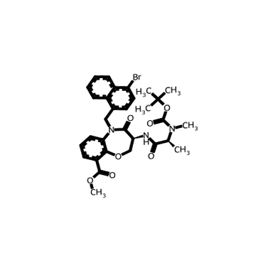 COC(=O)c1cccc2c1OC[C@H](NC(=O)[C@H](C)N(C)C(=O)OC(C)(C)C)C(=O)N2Cc1ccc(Br)c2ccccc12